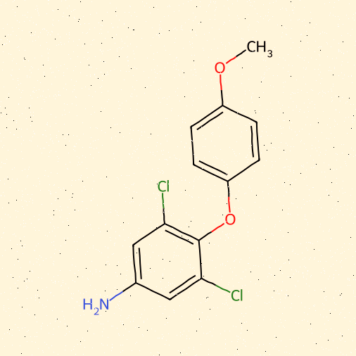 COc1ccc(Oc2c(Cl)cc(N)cc2Cl)cc1